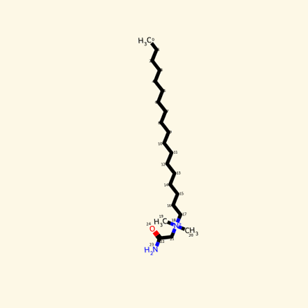 CCCCCCCCCCCCCCCCCC[N+](C)(C)CC(N)=O